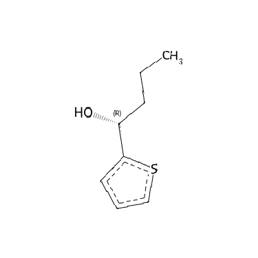 CCC[C@@H](O)c1cccs1